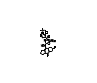 CN[S@](=O)(=NC(=O)Nc1c2c(c(F)c3c1C[C@@H](F)C3)CCC2)c1cnn2c1OCC2(C)C